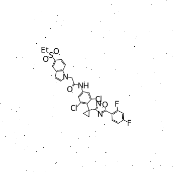 CCS(=O)(=O)c1ccc2c(ccn2CC(=O)Nc2cc(Cl)c(C3(c4noc(-c5ccc(F)cc5F)n4)CC3)c(Cl)c2)c1